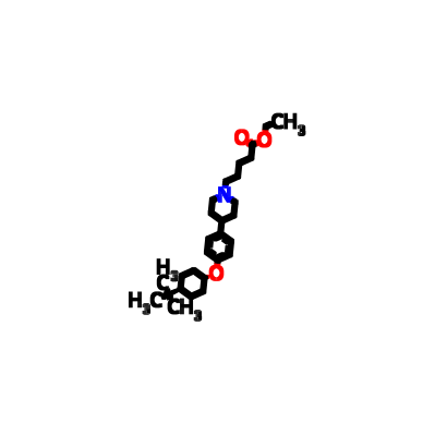 CCOC(=O)CCCCN1CCC(c2ccc(O[C@H]3CC[C@H](C(C)(C)C)CC3)cc2)CC1